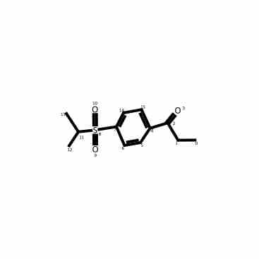 CCC(=O)c1ccc(S(=O)(=O)C(C)C)cc1